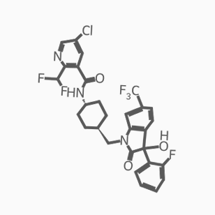 O=C(N[C@H]1CC[C@H](CN2C(=O)C(O)(c3ccccc3F)c3ccc(C(F)(F)F)cc32)CC1)c1cc(Cl)cnc1C(F)F